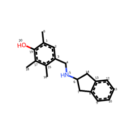 Cc1cc(CNC2Cc3ccccc3C2)c(C)c(C)c1O